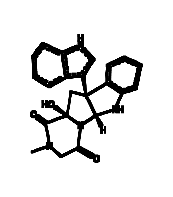 CN1CC(=O)N2[C@H]3Nc4ccccc4[C@@]3(c3c[nH]c4ccccc34)C[C@@]2(O)C1=O